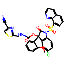 COc1ccccc1C1(OC(=O)NCc2nc(C#N)cs2)C(=O)N(S(=O)(=O)c2cccc3cccnc23)c2ccc(Cl)cc21